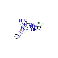 C=C1C(Nc2cc(CN3CCCCCC3)ns2)=NC(C)=CN1/C(=C\N)c1cnn(Cc2nc3c(F)c(F)ccc3[nH]2)c1